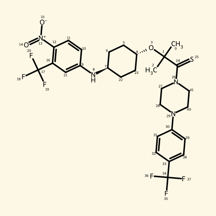 CC(C)(O[C@H]1CC[C@H](Nc2ccc([N+](=O)[O-])c(C(F)(F)F)c2)CC1)C(=S)N1CCN(c2ccc(C(F)(F)F)cc2)CC1